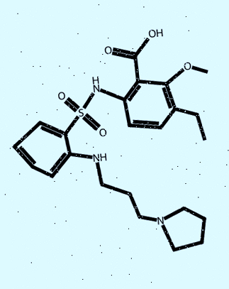 CCc1ccc(NS(=O)(=O)c2ccccc2NCCCN2CCCC2)c(C(=O)O)c1OC